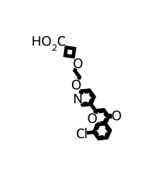 O=c1cc(-c2ccc(OCCO[C@H]3C[C@H](C(=O)O)C3)nc2)oc2c(Cl)cccc12